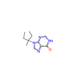 CCC(C)(CC)n1cnc2c(=O)[nH]cnc21